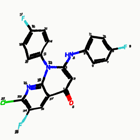 O=c1cc(Nc2ccc(F)cc2)n(-c2ccc(F)cc2)c2nc(Cl)c(F)cc12